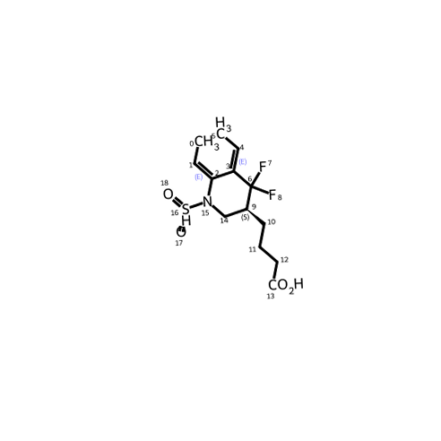 C/C=C1\C(=C/C)C(F)(F)[C@@H](CCCC(=O)O)CN1[SH](=O)=O